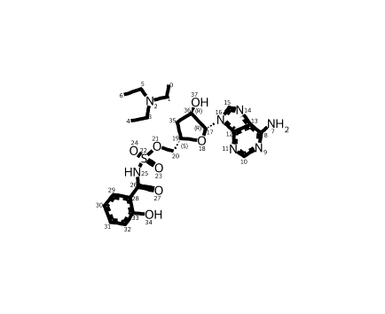 CCN(CC)CC.Nc1ncnc2c1ncn2[C@@H]1O[C@H](COS(=O)(=O)NC(=O)c2ccccc2O)C[C@H]1O